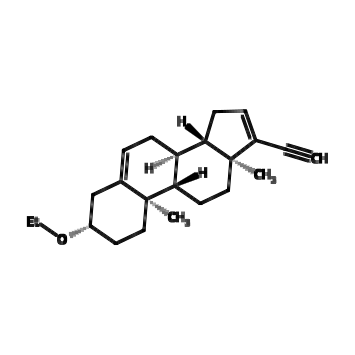 C#CC1=CC[C@H]2[C@@H]3CC=C4C[C@@H](OCC)CC[C@]4(C)[C@H]3CC[C@]12C